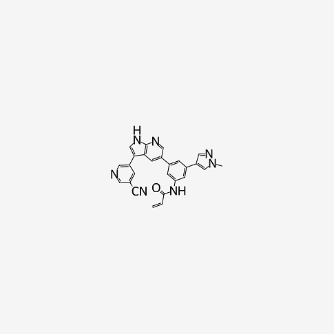 C=CC(=O)Nc1cc(-c2cnc3[nH]cc(-c4cncc(C#N)c4)c3c2)cc(-c2cnn(C)c2)c1